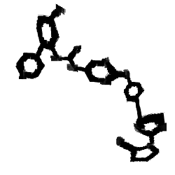 O=C(Nc1cnc(Oc2ccc(-c3cnc(N4CCCC4=O)s3)cc2)nc1)Nc1cc(F)ccc1-c1ccncc1